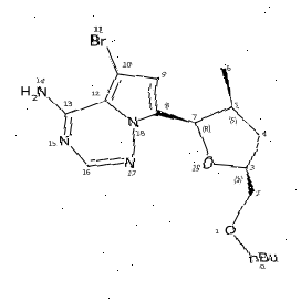 CCCCOC[C@@H]1C[C@H](C)[C@H](c2cc(Br)c3c(N)ncnn23)O1